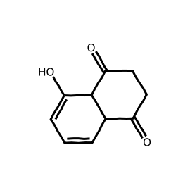 O=C1CCC(=O)C2C(O)=CC=CC12